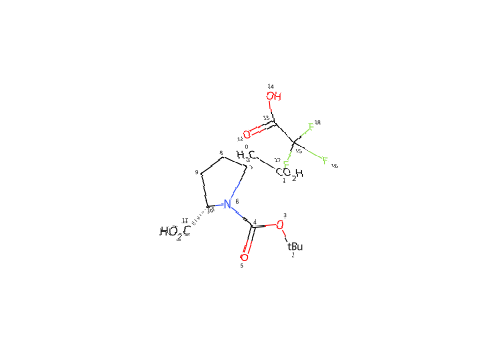 CC(=O)O.CC(C)(C)OC(=O)N1CCC[C@H]1C(=O)O.O=C(O)C(F)(F)F